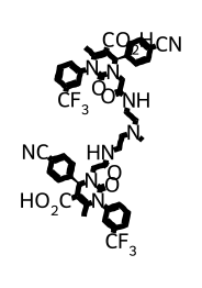 CC1=C(C(=O)O)[C@@H](c2ccc(C#N)cc2)N(CC(=O)NCCN(C)CCNC(=O)CN2C(=O)N(c3cccc(C(F)(F)F)c3)C(C)=C(C(=O)O)[C@H]2c2ccc(C#N)cc2)C(=O)N1c1cccc(C(F)(F)F)c1